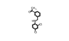 CC(=O)c1cccc(CNc2ccc(Cl)cc2Cl)c1